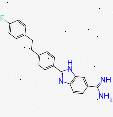 N=C(N)c1ccc2nc(-c3ccc(CCc4ccc(F)cc4)cc3)[nH]c2c1